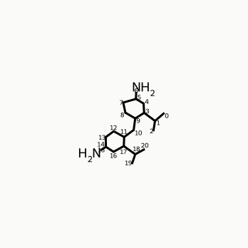 CC(C)C1CC(N)CCC1CC1CCC(N)CC1C(C)C